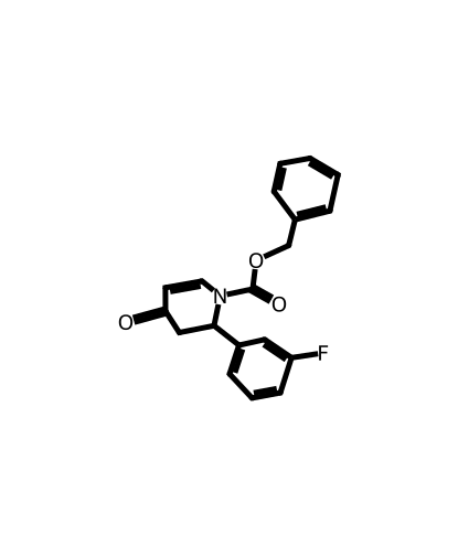 O=C1C=CN(C(=O)OCc2ccccc2)C(c2cccc(F)c2)C1